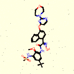 COc1c(NC(=O)/C(=N\O)c2ccc(Oc3ccnc(N4CCOCC4)n3)c3ccccc23)cc(C(C)(C)C)cc1NS(C)(=O)=O